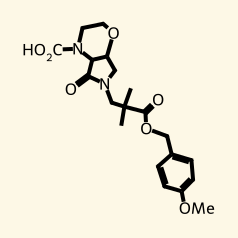 COc1ccc(COC(=O)C(C)(C)CN2CC3OCCN(C(=O)O)C3C2=O)cc1